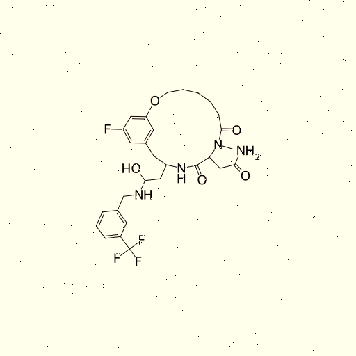 CN1C(=O)CCCCCOc2cc(F)cc(c2)CC(CC(O)NCc2cccc(C(F)(F)F)c2)NC(=O)C1CC(N)=O